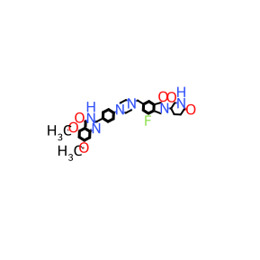 COc1cc(OC)c2c(=O)[nH]c(-c3ccc(N4CCN(Cc5cc(F)c6c(c5)C(=O)N(C5CCC(=O)NC5=O)C6)CC4)cc3)nc2c1